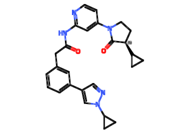 O=C(Cc1cccc(-c2cnn(C3CC3)c2)c1)Nc1cc(N2CC[C@@H](C3CC3)C2=O)ccn1